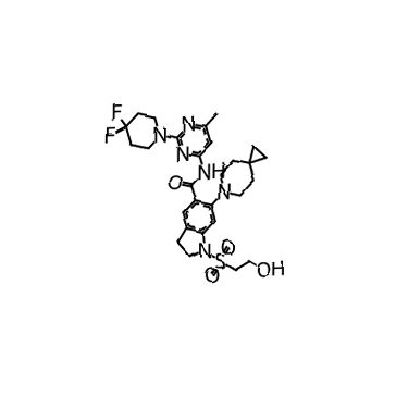 Cc1cc(NC(=O)c2cc3c(cc2N2CCC4(CC2)CC4)N(S(=O)(=O)CCO)CC3)nc(N2CCC(F)(F)CC2)n1